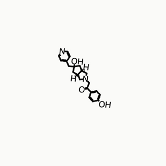 O=C(CN1C[C@@H]2CC(O)(Cc3ccncc3)C[C@@H]2C1)c1ccc(O)cc1